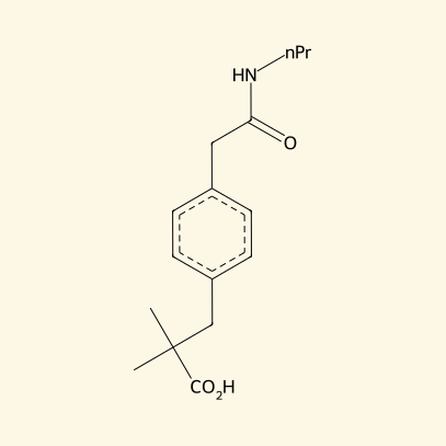 CCCNC(=O)Cc1ccc(CC(C)(C)C(=O)O)cc1